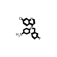 NC1CCC(N(Cc2cccc(F)c2)c2ccnc3cc(Cl)ccc23)CC1